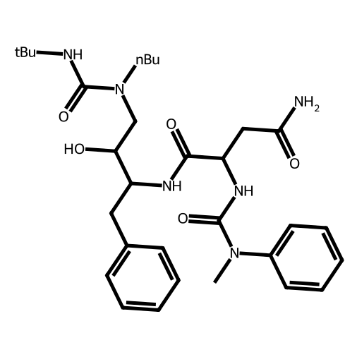 CCCCN(CC(O)C(Cc1ccccc1)NC(=O)C(CC(N)=O)NC(=O)N(C)c1ccccc1)C(=O)NC(C)(C)C